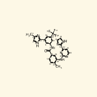 Cc1c[nH]c(-c2cc(NC(=O)c3ccc(C)c(Nc4nccc(-c5ncc[nH]5)n4)c3)cc(C(F)(F)F)c2)n1